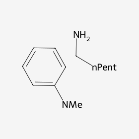 CCCCCCN.CNc1ccccc1